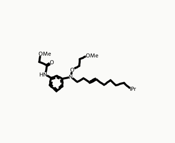 COCCON(CCC=CCCCCC(C)C)c1cccc(NC(=O)COC)c1